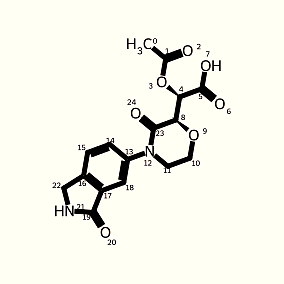 CC(=O)O[C@@H](C(=O)O)[C@H]1OCCN(c2ccc3c(c2)C(=O)NC3)C1=O